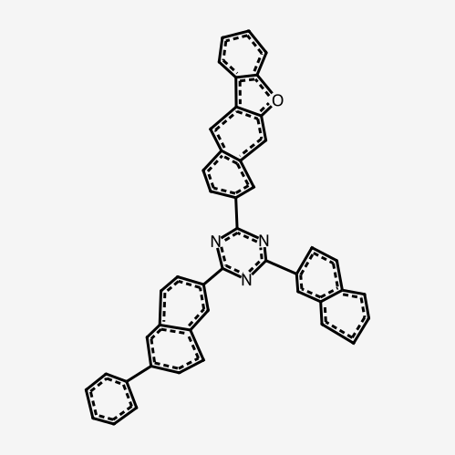 c1ccc(-c2ccc3cc(-c4nc(-c5ccc6ccccc6c5)nc(-c5ccc6cc7c(cc6c5)oc5ccccc57)n4)ccc3c2)cc1